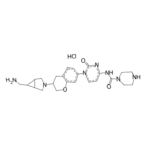 Cl.NCC1C2CN(C3COc4cc(-n5ccc(NC(=O)N6CCNCC6)nc5=O)ccc4C3)CC12